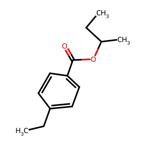 CCc1ccc(C(=O)OC(C)CC)cc1